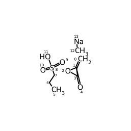 C=C1OC1=O.CCCS(=O)(=O)O.[CH3][Na]